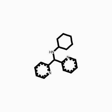 c1ccc(C(NC2CCCCC2)c2ccccn2)nc1